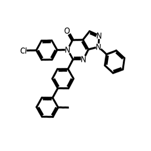 Cc1ccccc1-c1ccc(-c2nc3c(cnn3-c3ccccc3)c(=O)n2-c2ccc(Cl)cc2)cc1